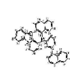 c1cc(-c2cccc3ccccc23)cc(N(c2cccc3ccccc23)c2cccc3c2oc2ccccc23)c1